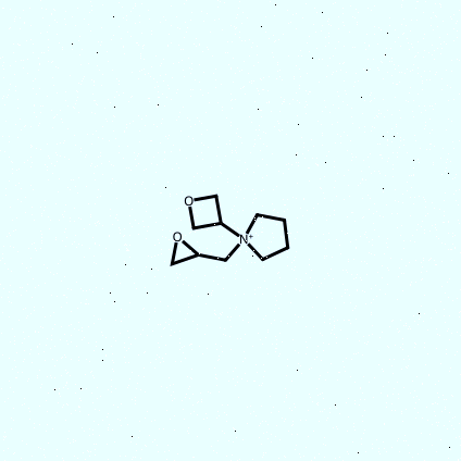 C1CC[N+](CC2CO2)(C2COC2)C1